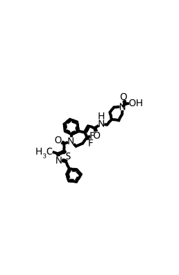 Cc1nc(-c2ccccc2)sc1C(=O)N1CCC(F)(F)C(=CC(=O)NCC2CCN(C(=O)O)CC2)c2ccccc21